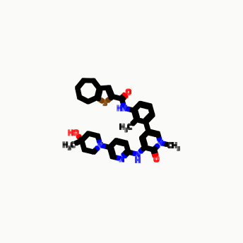 Cc1c(NC(=O)c2cc3c(s2)CCCCC3)cccc1-c1cc(Nc2ccc(N3CCC(C)(O)CC3)cn2)c(=O)n(C)c1